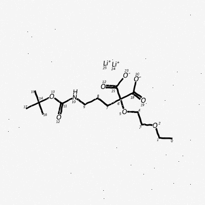 CCOCCOC(CCCNC(=O)OC(C)(C)C)(C(=O)[O-])C(=O)[O-].[Li+].[Li+]